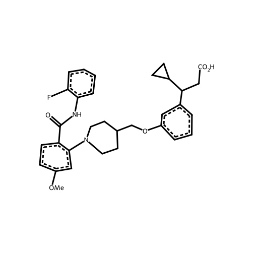 COc1ccc(C(=O)Nc2ccccc2F)c(N2CCC(COc3cccc(C(CC(=O)O)C4CC4)c3)CC2)c1